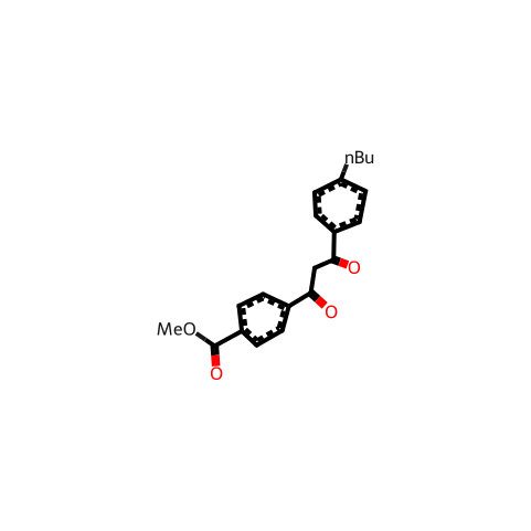 CCCCc1ccc(C(=O)CC(=O)c2ccc(C(=O)OC)cc2)cc1